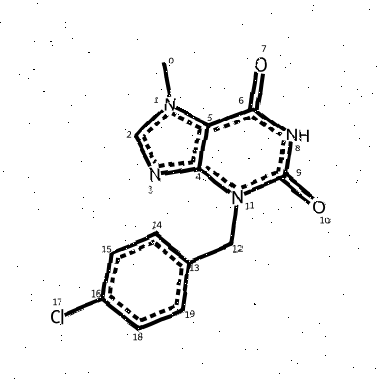 Cn1cnc2c1c(=O)[nH]c(=O)n2Cc1ccc(Cl)cc1